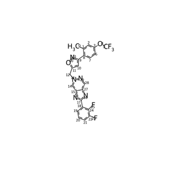 Cc1cc(OC(F)(F)F)ccc1-c1cc(Cn2cc3nc(-c4cccc(F)c4F)nc-3cn2)on1